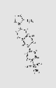 CC1CCCN1C1CCc2cc(-c3ccc(S(C)(=O)=O)cc3)ccc2C1